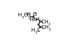 COCC(=O)NCC(C)CC(C)C